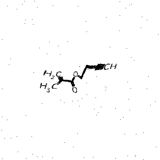 C#CCCOC(=O)C(=C)C